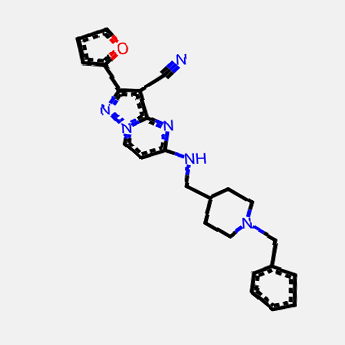 N#Cc1c(-c2ccco2)nn2ccc(NCC3CCN(Cc4ccccc4)CC3)nc12